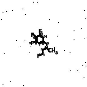 CN(CCF)Cc1cc(F)c(F)c(F)c1